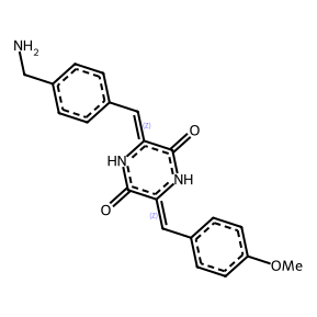 COc1ccc(/C=c2\[nH]c(=O)/c(=C/c3ccc(CN)cc3)[nH]c2=O)cc1